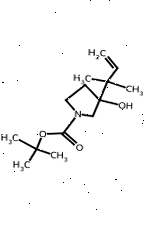 C=CC(C)(C)C1(O)CCN(C(=O)OC(C)(C)C)C1